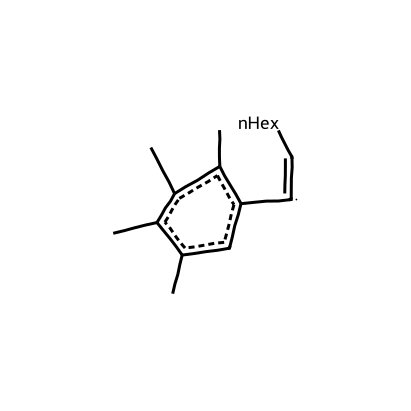 CCCCCC/C=[C]\c1cc(C)c(C)c(C)c1C